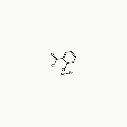 CC(=O)Br.O=C(Cl)c1ccccc1Cl